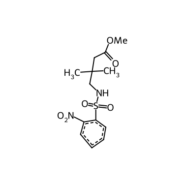 COC(=O)CC(C)(C)CNS(=O)(=O)c1ccccc1[N+](=O)[O-]